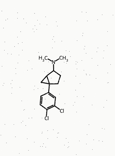 CN(C)C1CCC2(c3ccc(Cl)c(Cl)c3)CC12